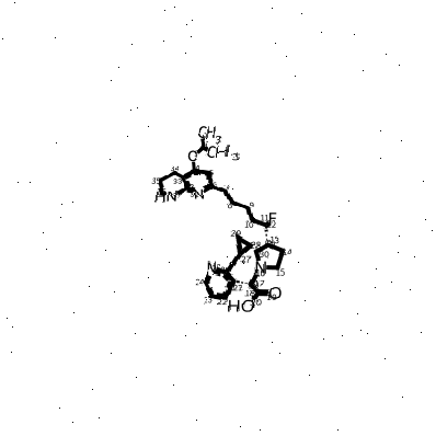 CC(C)Oc1cc(CCCCC(F)[C@@H]2CCN([C@H](C(=O)O)c3cccnc3C3CC3)C2)nc2c1CCCN2